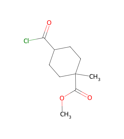 COC(=O)C1(C)CCC(C(=O)Cl)CC1